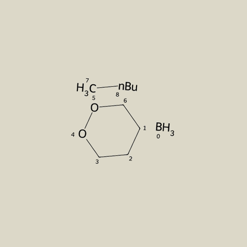 B.C1CCOOC1.CCCCC